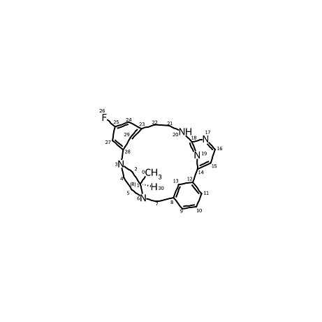 C[C@@H]1CN2CCN1Cc1cccc(c1)-c1ccnc(n1)NCCc1cc(F)cc2c1